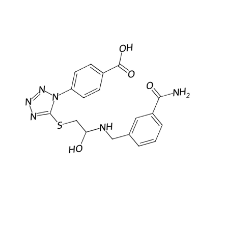 NC(=O)c1cccc(CNC(O)CSc2nnnn2-c2ccc(C(=O)O)cc2)c1